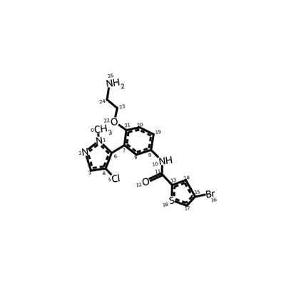 Cn1ncc(Cl)c1-c1cc(NC(=O)c2cc(Br)cs2)ccc1OCCN